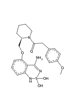 COc1ccc(CC(=O)N2CCCC[C@@H]2COc2cccc3c2C(N)=NS(O)(O)N3)cc1